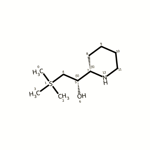 CS(C)(C)C[C@@H](O)[C@@H]1CCCCN1